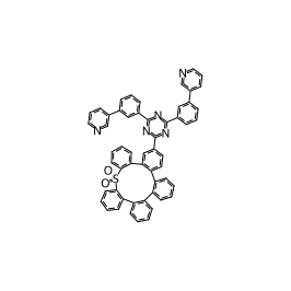 O=S1(=O)c2ccccc2-c2ccccc2-c2ccccc2-c2ccc(-c3nc(-c4cccc(-c5cccnc5)c4)nc(-c4cccc(-c5cccnc5)c4)n3)cc2-c2ccccc21